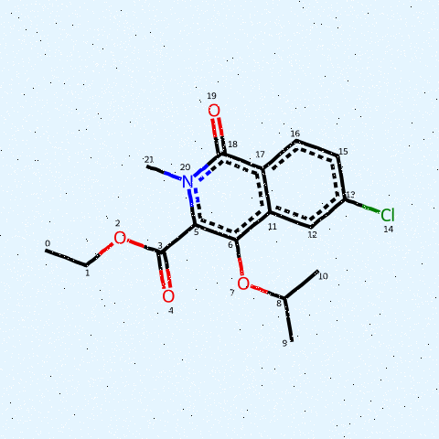 CCOC(=O)c1c(OC(C)C)c2cc(Cl)ccc2c(=O)n1C